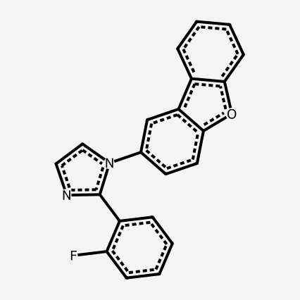 Fc1ccccc1-c1nccn1-c1ccc2oc3ccccc3c2c1